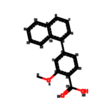 COc1cc(-c2cccc3ccccc23)ccc1C(=O)O